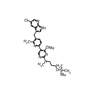 COc1nc(N(C)CCCO[Si](C)(C)C(C)(C)C)ncc1-c1ccc(Cc2c[nH]c3ncc(Cl)cc23)c(C)n1